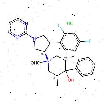 C[C@H]1C[N+](C=O)([C@H]2CN(c3ncccn3)CC2c2ccc(F)cc2F)C[C@H](C)C1(O)c1ccccc1.Cl